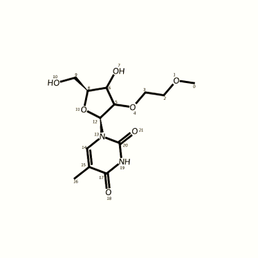 COCCOC1C(O)[C@H](CO)O[C@@H]1n1cc(C)c(=O)[nH]c1=O